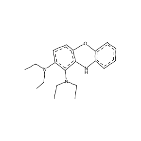 CCN(CC)c1ccc2c(c1N(CC)CC)Nc1ccccc1O2